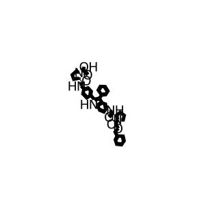 O=C(Nc1ccc(-c2[nH]c3ccc(NC(=O)[C@@H]4CCCN4C(=O)OCc4ccccc4)cc3c2-c2ccccc2)cc1)[C@@H]1CCCN1C(=O)O